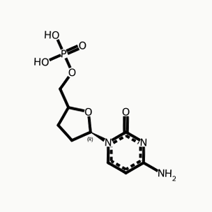 Nc1ccn([C@H]2CCC(COP(=O)(O)O)O2)c(=O)n1